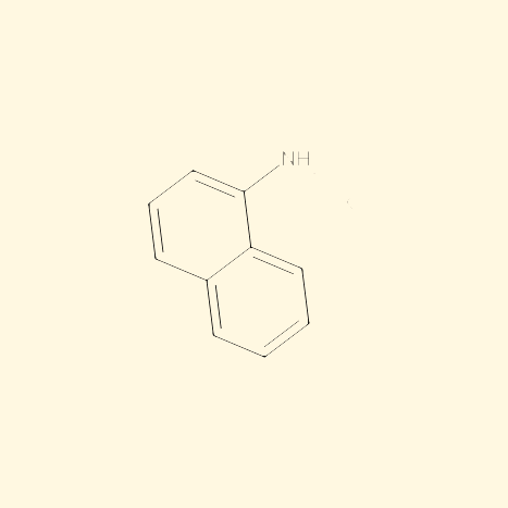 Nc1cccc2ccccc12.[K]